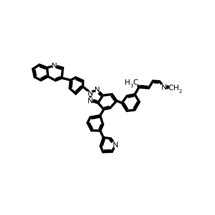 C=N/C=C\C=C(/C)c1cccc(-c2cc(-c3cccc(-c4cccnc4)c3)c3nn(-c4ccc(-c5cnc6ccccc6c5)cc4)nc3c2)c1